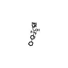 OC(Cn1cnnn1)C(F)(F)c1ccc(-c2ccccc2)cn1